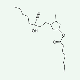 C#C[C@](O)(CCCCC)CCC1CC(OC(=O)CCCCCC)CC1C